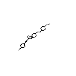 CCCC1CCC(CCC2CCC(CC(O)C#Cc3ccc(F)cc3)CC2)CC1